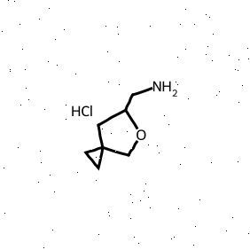 Cl.NCC1CC2(CC2)CO1